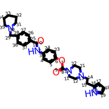 O=C(Nc1ccc(OC(=O)N2CCN(CCc3ccc[nH]3)CC2)cc1)c1ccc(CN2CCCCC2)cc1